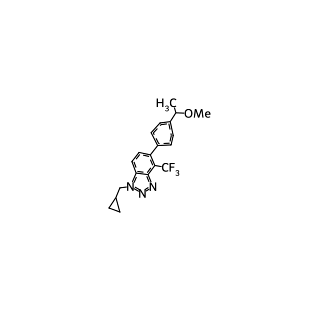 COC(C)c1ccc(-c2ccc3c(nnn3CC3CC3)c2C(F)(F)F)cc1